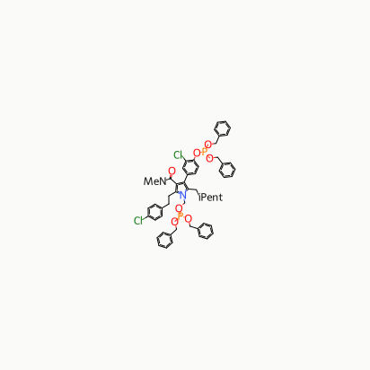 CCCC(C)Cc1c(-c2ccc(OP(OCc3ccccc3)OCc3ccccc3)c(Cl)c2)c(C(=O)NC)c(CCc2ccc(Cl)cc2)n1COP(OCc1ccccc1)OCc1ccccc1